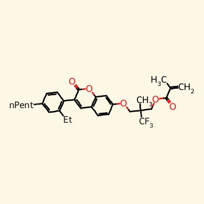 C=C(C)C(=O)OCC(C)(COc1ccc2cc(-c3ccc(CCCCC)cc3CC)c(=O)oc2c1)C(F)(F)F